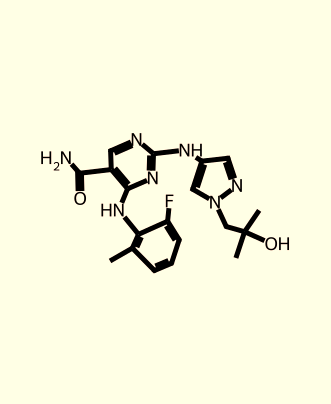 Cc1cccc(F)c1Nc1nc(Nc2cnn(CC(C)(C)O)c2)ncc1C(N)=O